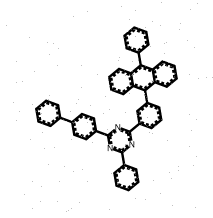 c1ccc(-c2ccc(-c3nc(-c4ccccc4)nc(-c4cccc(-c5c6ccccc6c(-c6ccccc6)c6ccccc56)c4)n3)cc2)cc1